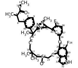 COC(=O)C(C)Cc1cccc(C2(C)CCCC(C)(C)C[S+]([O-])CCc3c(c(F)cc4[nH]ccc34)Oc3ccc(F)c(c3)-c3nc2nn3C)c1